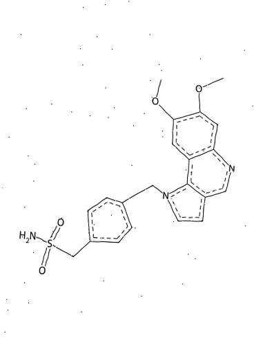 COc1cc2ncc3ccn(Cc4ccc(CS(N)(=O)=O)cc4)c3c2cc1OC